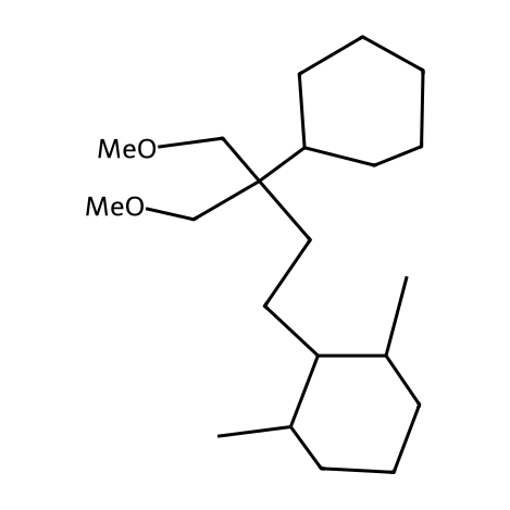 COCC(CCC1C(C)CCCC1C)(COC)C1CCCCC1